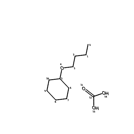 CCCCOC1CCCCC1.O=C(O)O